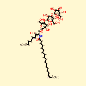 CCCCCCCC/C=C\CCCCCCCCCCCCCCCC(=O)N[C@@H](CO[C@@H]1OC(CO)[C@@H](O[C@@H]2OC(CO)[C@@H](O)[C@H](O[C@H]3OC(CO)[C@@H](O)[C@H](O)C3O)C2O)[C@H](O)C1O)[C@H](O)/C=C/CCCCCCCCCCCCC